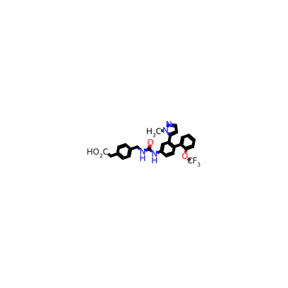 Cn1nccc1-c1cc(NC(=O)NCc2ccc(CC(=O)O)cc2)ccc1-c1ccccc1OC(F)(F)F